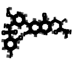 CNC(=O)[C@@H](C)Cn1cnc2cc(F)c(-c3cnc(OC)c(NS(=O)(=O)c4ccc(F)cc4Cl)c3)cc2c1=O